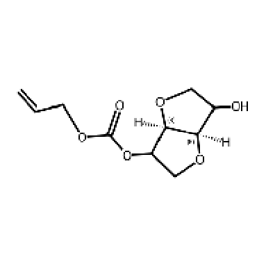 C=CCOC(=O)OC1CO[C@@H]2C(O)CO[C@H]12